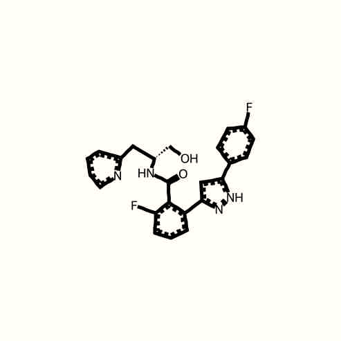 O=C(N[C@@H](CO)Cc1ccccn1)c1c(F)cccc1-c1cc(-c2ccc(F)cc2)[nH]n1